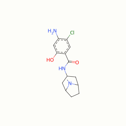 CN1C2CCC1CC(NC(=O)c1cc(Cl)c(N)cc1O)C2